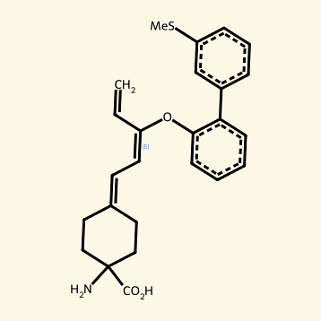 C=C/C(=C\C=C1CCC(N)(C(=O)O)CC1)Oc1ccccc1-c1cccc(SC)c1